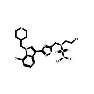 CN(C)S(=O)(=O)N(CCO)Cc1nc(-c2cn(CC3CCOCC3)c3c(Cl)cccc23)no1